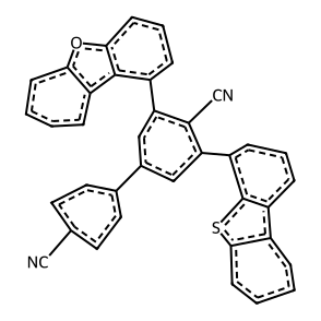 N#Cc1ccc(-c2cc(-c3cccc4c3sc3ccccc34)c(C#N)c(-c3cccc4oc5ccccc5c34)c2)cc1